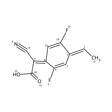 CC=c1cc(F)/c(=C(/C#N)C(=O)O)cc1F